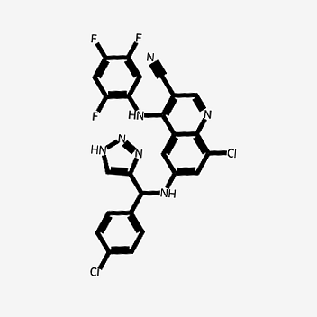 N#Cc1cnc2c(Cl)cc(NC(c3ccc(Cl)cc3)c3c[nH]nn3)cc2c1Nc1cc(F)c(F)cc1F